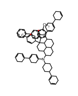 CC1=CCC(C2(c3ccc(C)cc3)CCC3C4C(CCC(N(C5=CC=C(C6CC=CCC6)CC5)c5ccc(-c6ccccc6)cc5)C42)CCC3N(C2=CC=C(C3=CC=CCC3)CC2)C2CCC(C3=CC=CCC3)CC2)C=C1